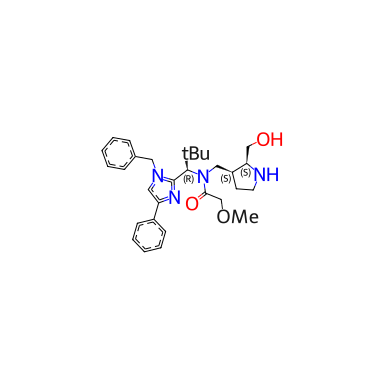 COCC(=O)N(C[C@@H]1CCN[C@@H]1CO)[C@@H](c1nc(-c2ccccc2)cn1Cc1ccccc1)C(C)(C)C